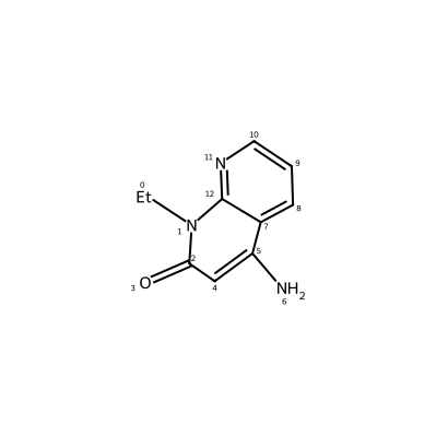 CCn1c(=O)cc(N)c2cccnc21